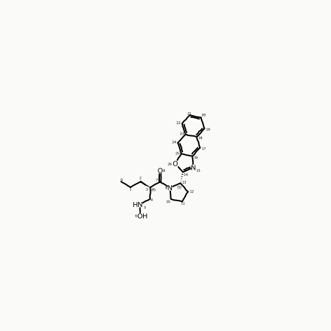 CCC[C@H](CNO)C(=O)N1CCC[C@H]1c1nc2cc3ccccc3cc2o1